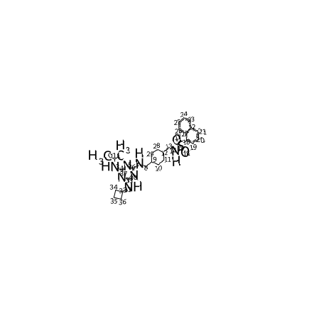 CC(C)Nc1nc(NCC2CCC(CNS(=O)(=O)c3cccc4ccccc34)CC2)nc(NC2CCC2)n1